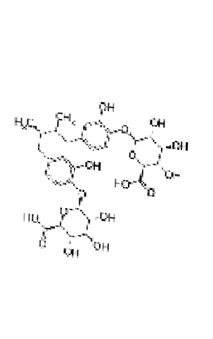 C[C@H](Cc1ccc(O[C@@H]2O[C@H](C(=O)O)[C@@H](O)[C@H](O)[C@H]2O)c(O)c1)[C@@H](C)Cc1ccc(O[C@@H]2O[C@H](C(=O)O)[C@@H](O)[C@H](O)[C@H]2O)c(O)c1